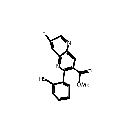 COC(=O)c1cc2ncc(F)cc2nc1-c1ccccc1S